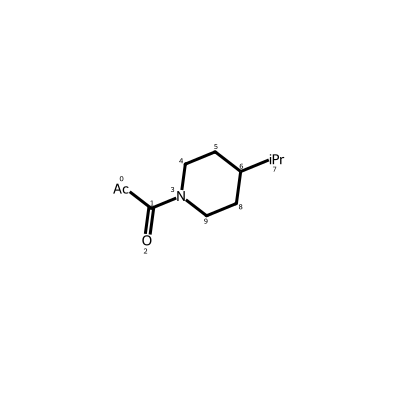 CC(=O)C(=O)N1CCC(C(C)C)CC1